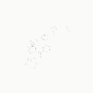 BC(B)(B)NC(=O)c1nnc(NC(=O)C2CC2)cc1Nc1cccc(-c2ncc(CC(=O)NCCC3CCCN3C)s2)c1OC